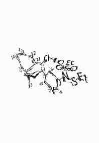 CCSN(c1cncc(-c2c(C=O)c3ccccc3n2C)c1)S(=O)(=O)CC